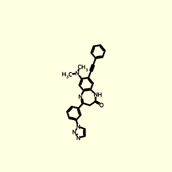 CN(C)c1cc2c(cc1C#Cc1ccccc1)NC(=O)CC(c1cccc(-n3ccnn3)c1)=N2